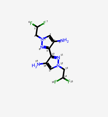 Nc1cn(CC(F)F)nc1-c1nn(CC(F)F)cc1N